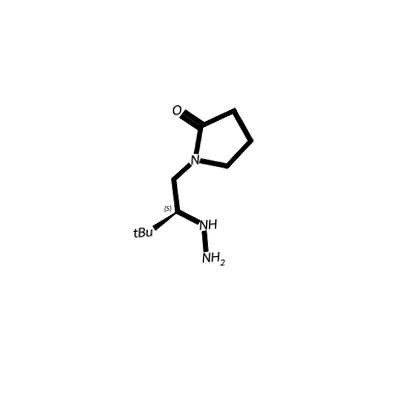 CC(C)(C)[C@@H](CN1CCCC1=O)NN